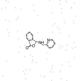 O=C1OC(NCc2ccccn2)c2ccccc21